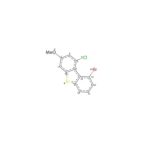 COc1cc(Cl)c2c(c1)sc1cccc(Br)c12